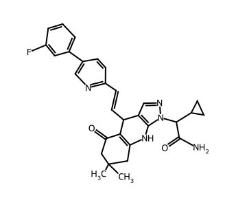 CC1(C)CC(=O)C2=C(C1)Nc1c(cnn1C(C(N)=O)C1CC1)C2C=Cc1ccc(-c2cccc(F)c2)cn1